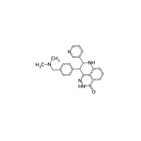 CN(C)Cc1ccc(C2c3n[nH]c(=O)c4cccc(c34)NC2c2cccnc2)cc1